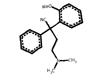 COc1ccccc1C(C#N)(CCN(C)C)c1ccccc1